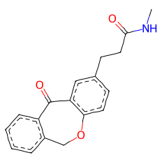 CNC(=O)CCc1ccc2c(c1)C(=O)c1ccccc1CO2